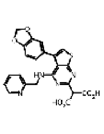 O=C(O)C(C(=O)O)c1nc(NCc2ccccn2)c2c(-c3ccc4c(c3)OCO4)csc2n1